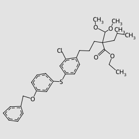 CCOC(=O)C(CCCc1ccc(Sc2cccc(OCc3ccccc3)c2)cc1Cl)(CC(C)C)C(OC)OC